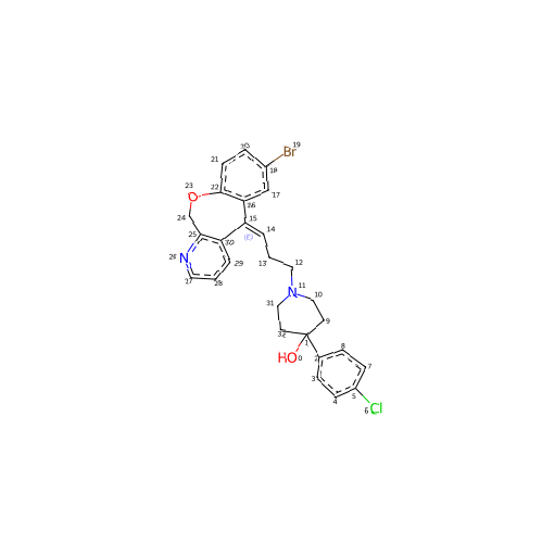 OC1(c2ccc(Cl)cc2)CCN(CC/C=C2/c3cc(Br)ccc3OCc3ncccc32)CC1